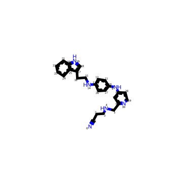 N#CCCNCc1cc(Nc2ccc(NCCc3c[nH]c4ccccc34)cc2)ccn1